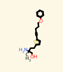 CC(N)(CO)CCc1ccc(C#CCCCOc2ccccc2)s1